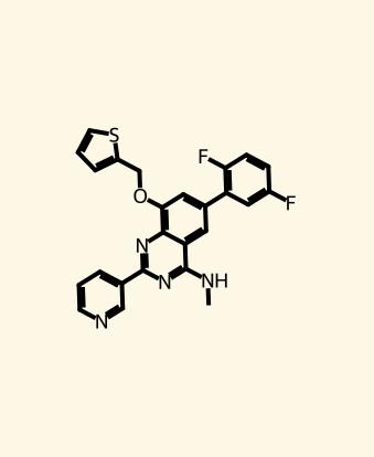 CNc1nc(-c2cccnc2)nc2c(OCc3cccs3)cc(-c3cc(F)ccc3F)cc12